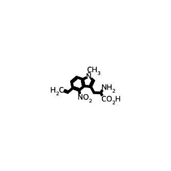 C=Cc1ccc2c(c(CC(N)C(=O)O)cn2C)c1[N+](=O)[O-]